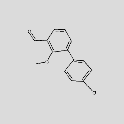 COc1c(C=O)cccc1-c1ccc(Cl)cc1